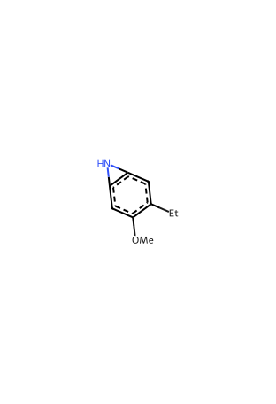 CCc1cc2c(cc1OC)N2